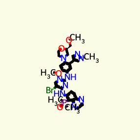 COC[C@H]1CN(c2cc(OC)c(Nc3ncc(Br)c(Nc4ccc5nccnc5c4P(C)(C)=O)n3)cc2-c2cnn(C)c2)CCO1